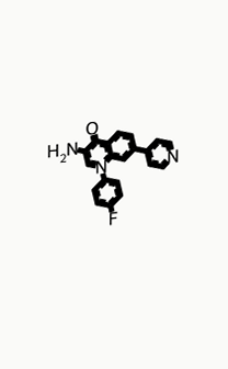 Nc1cn(-c2ccc(F)cc2)c2cc(-c3ccncc3)ccc2c1=O